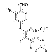 Cc1c(Cc2ccc(C=O)c(F)c2)cc(C=O)c(CN(C)C)c1C